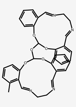 Cc1cccc2c1/C=N/CC/N=C/c1ccccc1OC(OC1Oc3ccccc3/C=N/CC/N=C/c3ccccc3O1)O2